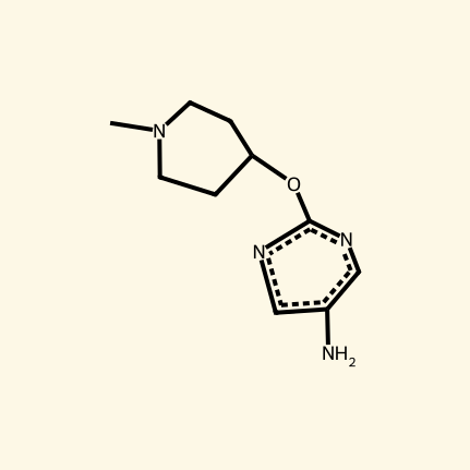 CN1CCC(Oc2ncc(N)cn2)CC1